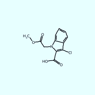 COC(=O)Cn1c(C(=O)O)c(Cl)c2ccccc21